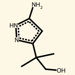 CC(C)(CO)c1cc(N)[nH]n1